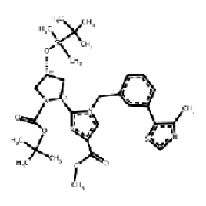 COC(=O)c1cn(Cc2cccc(-c3scnc3C)c2)c([C@@H]2C[C@@H](O[Si](C)(C)C(C)(C)C)CN2C(=O)OC(C)(C)C)n1